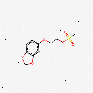 CS(=O)(=O)OCCOc1ccc2c(c1)OCO2